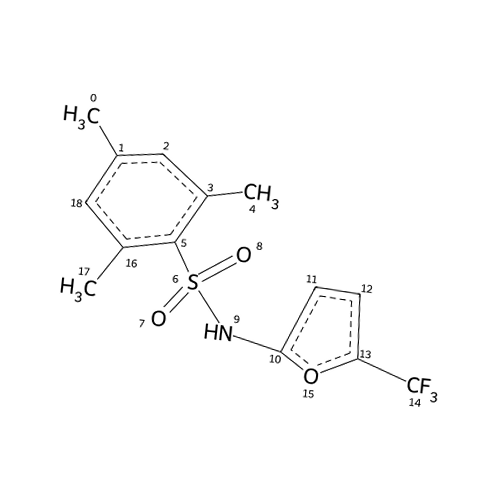 Cc1cc(C)c(S(=O)(=O)Nc2ccc(C(F)(F)F)o2)c(C)c1